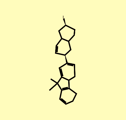 CC1(C)C2=CC([C@H]3C=CC4C[C@@H](I)CCC4C3)=CCC2C2=C1C=CCC2